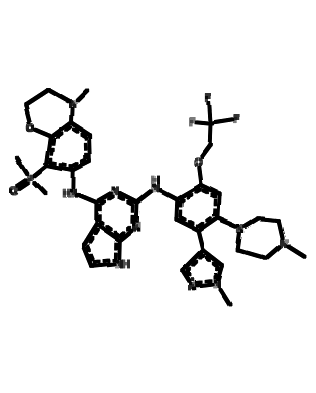 CN1CCN(c2cc(OCC(F)(F)F)c(Nc3nc(Nc4ccc5c(c4P(C)(C)=O)OCCN5C)c4cc[nH]c4n3)cc2-c2cnn(C)c2)CC1